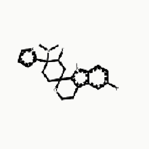 CN(C)C1(c2cccs2)CCC2(CC1F)OCCc1c2[nH]c2ccc(F)cc12